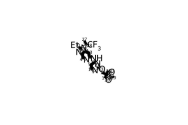 CCc1nc2cnc(Nc3ccnc(OCC(C)(C)S(C)(=O)=O)n3)cc2n1[C@@H](C)C(F)(F)F